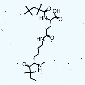 CCC(C)(C)C(=O)[C@H](CCCCNC(=O)CC[C@H](NC(=O)C(C)(C)CC(C)(C)C)C(=O)O)NC